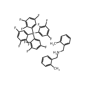 Cc1ccccc1C[NH2+]Cc1ccccc1C.Fc1cc(F)c(F)c([B-](c2cc(F)cc(F)c2F)(c2cc(F)cc(F)c2F)c2cc(F)cc(F)c2F)c1